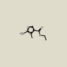 CCOC(=O)c1csc(N)c1C